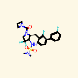 CN(C)S(=O)(=O)N[C@@H]1[C@H](Cc2cccc(-c3cccc(F)c3)c2F)N(C(=O)N2CCC2)CC1(F)F